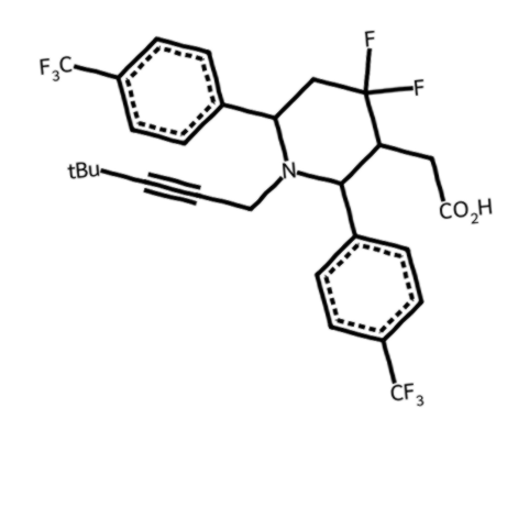 CC(C)(C)C#CCN1C(c2ccc(C(F)(F)F)cc2)CC(F)(F)C(CC(=O)O)C1c1ccc(C(F)(F)F)cc1